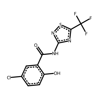 O=C(Nc1nsc(C(F)(F)F)n1)c1cc(Cl)ccc1O